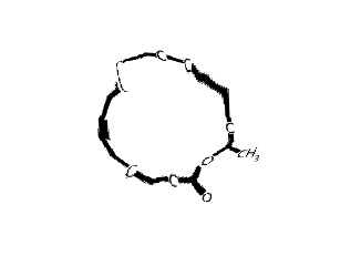 CC1CCCCCCCCC=CCCCCC(=O)O1